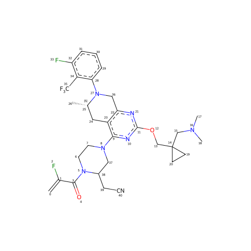 C=C(F)C(=O)N1CCN(c2nc(OCC3(CN(C)C)CC3)nc3c2C[C@H](C)N(c2cccc(F)c2C(F)(F)F)C3)CC1CC#N